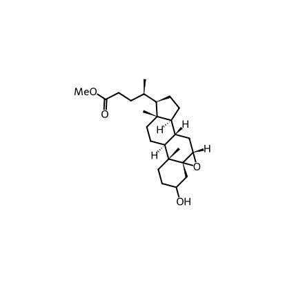 COC(=O)CC[C@@H](C)[C@H]1CC[C@H]2[C@@H]3C[C@@H]4O[C@@]45CC(O)CC[C@]5(C)[C@H]3CC[C@]12C